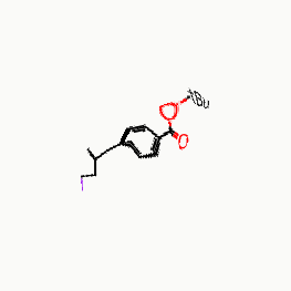 CC(CCI)c1ccc(C(=O)OC(C)(C)C)cc1